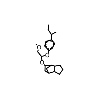 CCC(C)c1ccc(OC(COC)OC2CC3CC2C2CCCC32)cc1